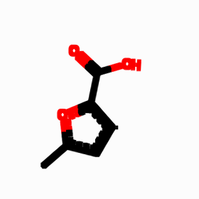 Cc1c[c]c(C(=O)O)o1